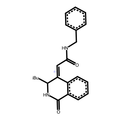 CCC(C)C1NC(=O)c2ccccc2/C1=C\C(=O)NCc1ccccc1